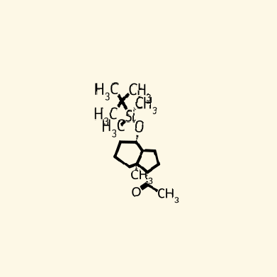 CC(=O)[C@H]1CCC2[C@@H](O[Si](C)(C)C(C)(C)C)CCC[C@@]21C